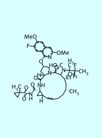 CC[C@@H]1C[C@H](C)CCC=C[C@@H]2C[C@@]2(C(=O)NS(=O)(=O)C2(C)CC2)NC(=O)[C@@H]2C[C@@H](Oc3nc(OC)cc4cc(OC)c(F)cc34)CN2C(=O)[C@H]1N(C(=O)O)C(C)(C)C(C)(F)F